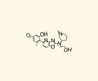 Cc1cc(Cl)cc(O)c1-c1ccc2oc(N(CCO)[C@@H]3CCCN(C)C3)nc2n1